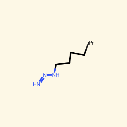 CC(C)CCCCNN=N